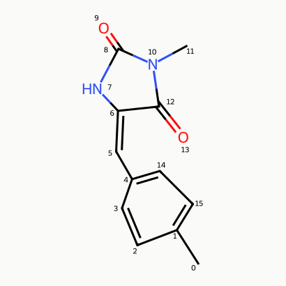 Cc1ccc(C=C2NC(=O)N(C)C2=O)cc1